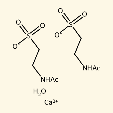 CC(=O)NCCS(=O)(=O)[O-].CC(=O)NCCS(=O)(=O)[O-].O.[Ca+2]